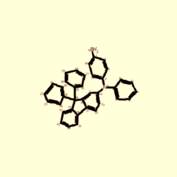 Bc1ccc(N(c2ccccc2)c2ccc3c(c2)C(c2ccccc2)(c2ccccc2)c2ccccc2-3)cc1